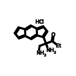 CCC(=O)C(N)(CN)C1=CC=c2cc3c(cc21)=CC=C3.Cl